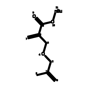 C=C(C)COCC(=C)C(=O)OCCCC